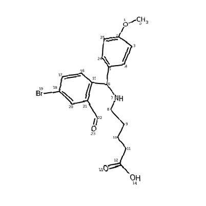 COc1ccc(C(NCCCCC(=O)O)c2ccc(Br)cc2C=O)cc1